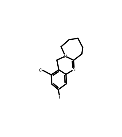 Clc1cc(I)cc2c1CN1CCCCCC1=N2